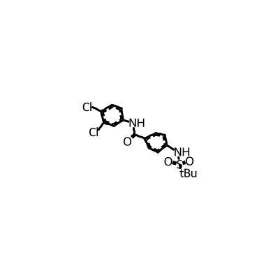 CC(C)(C)S(=O)(=O)Nc1ccc(C(=O)Nc2ccc(Cl)c(Cl)c2)cc1